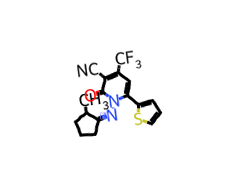 CC1CCC/C1=N/n1c(-c2cccs2)cc(C(F)(F)F)c(C#N)c1=O